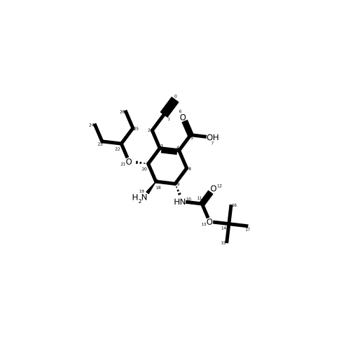 C#CCC1=C(C(=O)O)C[C@H](NC(=O)OC(C)(C)C)[C@@H](N)[C@@H]1OC(CC)CC